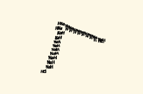 Cl.Cl.[NaH].[NaH].[NaH].[NaH].[NaH].[NaH].[NaH].[NaH].[NaH].[NaH].[NaH].[NaH].[NaH].[NaH].[NaH].[NaH].[NaH].[NaH].[NaH].[NaH]